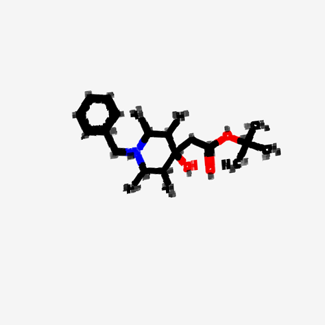 [2H]C1C([2H])C(O)(CC(=O)OC(C)(C)C)C([2H])C([2H])N1Cc1ccccc1